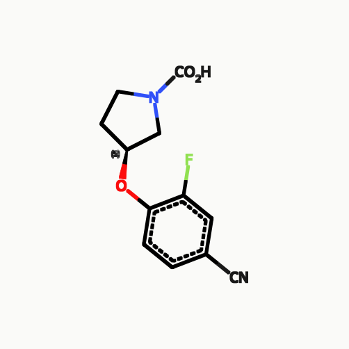 N#Cc1ccc(O[C@H]2CCN(C(=O)O)C2)c(F)c1